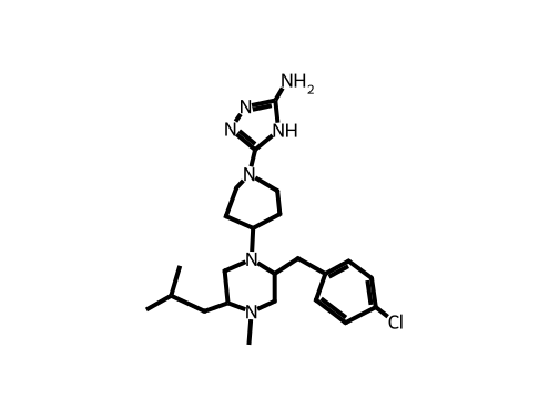 CC(C)CC1CN(C2CCN(c3nnc(N)[nH]3)CC2)C(Cc2ccc(Cl)cc2)CN1C